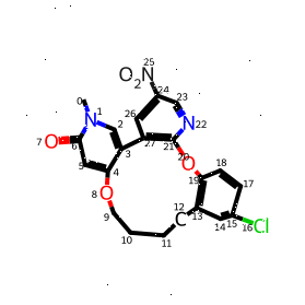 Cn1cc2c(cc1=O)OCCCCc1cc(Cl)ccc1Oc1ncc([N+](=O)[O-])cc1-2